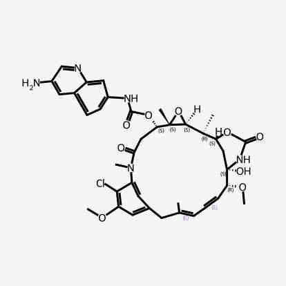 COc1cc2cc(c1Cl)N(C)C(=O)C[C@H](OC(=O)Nc1ccc3cc(N)cnc3c1)[C@]1(C)O[C@H]1[C@H](C)[C@@H]1C[C@@](O)(NC(=O)O1)[C@H](OC)/C=C/C=C(\C)C2